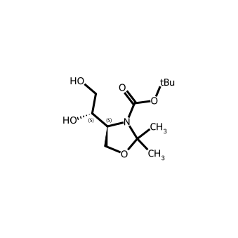 CC(C)(C)OC(=O)N1[C@H]([C@H](O)CO)COC1(C)C